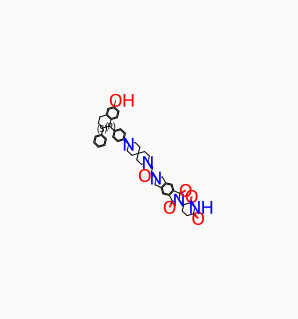 O=C1CCC(N2C(=O)c3cc4c(cc3C2=O)CN(C(=O)CN2CCC3(CC2)CCN(c2ccc([C@@H]5c6ccc(O)cc6CC[C@@H]5c5ccccc5)cc2)CC3)C4)C(=O)N1